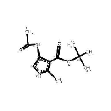 CC(=O)Nc1c[nH]c(C)c1C(=O)OC(C)(C)C